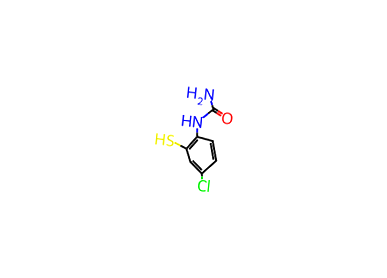 NC(=O)Nc1ccc(Cl)cc1S